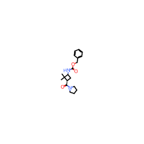 CC1(C)[C@@H](NC(=O)OCc2ccccc2)C[C@H]1C(=O)N1CCCC1